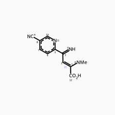 CN/C(=C\C(=N)c1ccc(C#N)cn1)C(=O)O